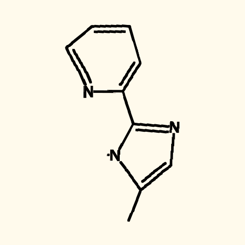 CC1=CN=C(c2ccccn2)[N]1